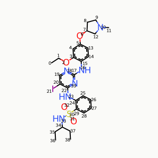 CCOc1cc(O[C@H]2CCN(C)C2)ccc1Nc1ncc(I)c(Nc2ccccc2S(=O)(=O)NC(CC)CC)n1